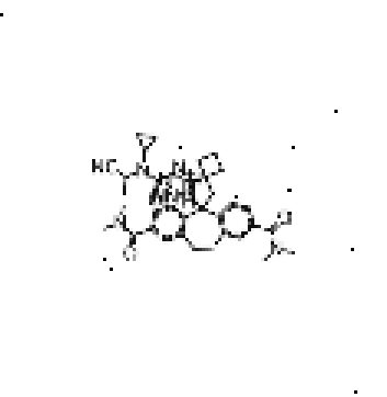 CC(C#N)N(C(=O)CNC1(CC2(c3nnn[nH]3)c3ccc(C(=O)N(C)C)cc3CCc3cc(C(=O)N(C)C)ccc32)CCC1)C1CC1